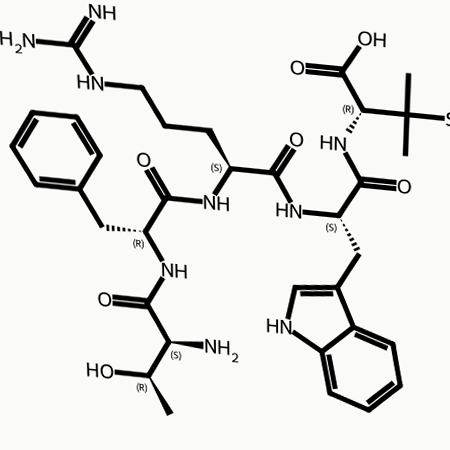 C[C@@H](O)[C@H](N)C(=O)N[C@H](Cc1ccccc1)C(=O)N[C@@H](CCCNC(=N)N)C(=O)N[C@@H](Cc1c[nH]c2ccccc12)C(=O)N[C@H](C(=O)O)C(C)(C)S